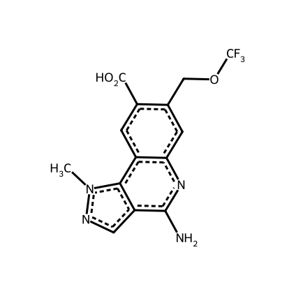 Cn1ncc2c(N)nc3cc(COC(F)(F)F)c(C(=O)O)cc3c21